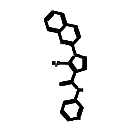 Cc1c(C(=O)Nc2cccnc2)cnn1-c1ccc2ccccc2n1